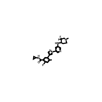 Cc1cc(F)c(C(=O)NC2CC2)cc1-c1cnn(-c2cncc(NC3CCN(C)CC3(F)F)c2)c1